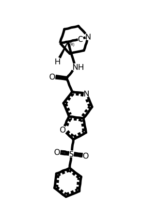 O=C(N[C@H]1CN2CCC1CC2)c1cc2oc(S(=O)(=O)c3ccccc3)cc2cn1